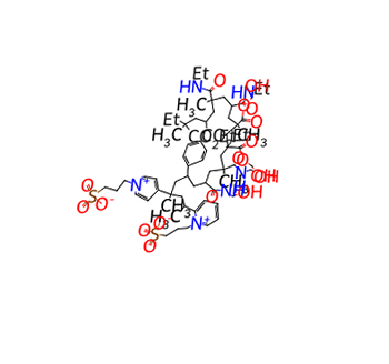 CCNC(=O)C(CC(C)(CC(CC(C)(CC)C(=O)OCC)C(=O)OCC)C(=O)NCC)CC(C)(CC(CC(C)(CC(CC(CC(C)(CC(C)c1cccc[n+]1CCCS(=O)(=O)[O-])c1cc[n+](CCCS(=O)(=O)[O-])cc1)c1ccccc1)C(=O)NCO)C(=O)NCO)C(=O)OCO)C(=O)OCO